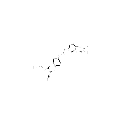 CCOC(=O)C(C#N)Cc1ccc(OCCc2ccc(OS(C)(=O)=O)cc2)cc1